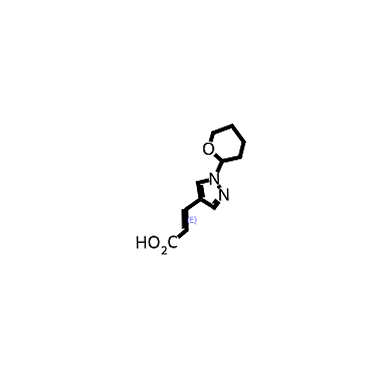 O=C(O)/C=C/c1cnn(C2CCCCO2)c1